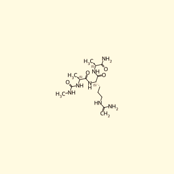 C=C(N)NCCC[C@H](NC(=O)[C@H](C)NC(=O)NC)C(=O)N[C@@H](C)C(N)=O